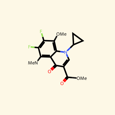 CNc1c(F)c(F)c(OC)c2c1c(=O)c(C(=O)OC)cn2C1CC1